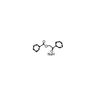 O=C(COC(=O)c1ccccc1)c1ccccc1.[NaH]